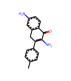 Cc1ccc(C2=C(N)C(=O)c3ccc(N)cc3C2)cc1